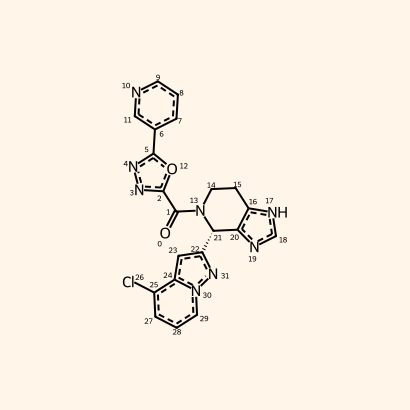 O=C(c1nnc(-c2cccnc2)o1)N1CCc2[nH]cnc2[C@@H]1c1cc2c(Cl)cccn2n1